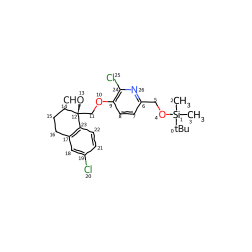 CC(C)(C)[Si](C)(C)OCc1ccc(OC[C@@]2(C=O)CCCc3cc(Cl)ccc32)c(Cl)n1